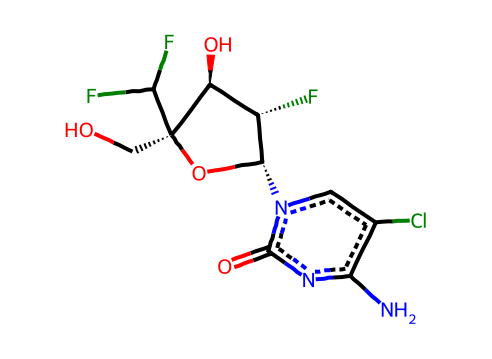 Nc1nc(=O)n([C@@H]2O[C@@](CO)(C(F)F)[C@@H](O)[C@@H]2F)cc1Cl